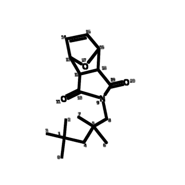 CC(C)(C)CC(C)(C)CN1C(=O)C2C3C=CC(O3)C2C1=O